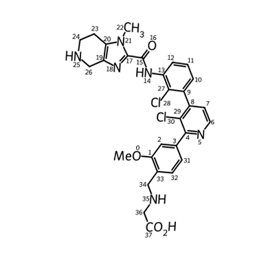 COc1cc(-c2nccc(-c3cccc(NC(=O)c4nc5c(n4C)CCNC5)c3Cl)c2Cl)ccc1CNCC(=O)O